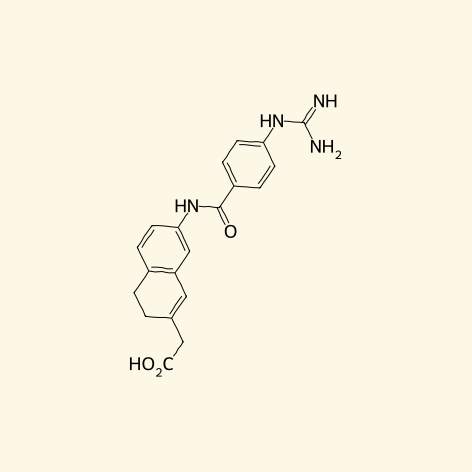 N=C(N)Nc1ccc(C(=O)Nc2ccc3c(c2)C=C(CC(=O)O)CC3)cc1